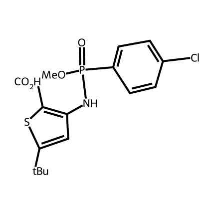 COP(=O)(Nc1cc(C(C)(C)C)sc1C(=O)O)c1ccc(Cl)cc1